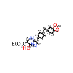 CCOC(=O)c1cnc2c(-c3ccc(Cc4ccc5c(c4)OCO5)cc3)cnn2c1O